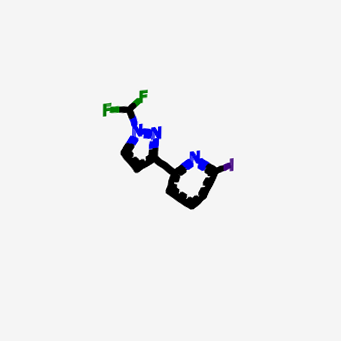 FC(F)n1ccc(-c2cccc(I)n2)n1